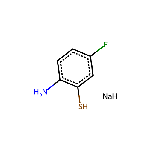 Nc1ccc(F)cc1S.[NaH]